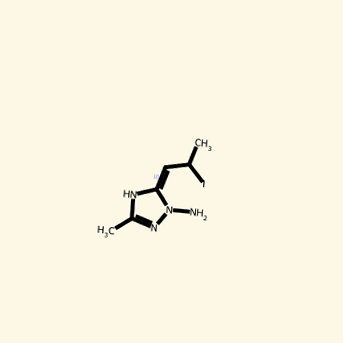 CC1=NN(N)/C(=C\C(C)I)N1